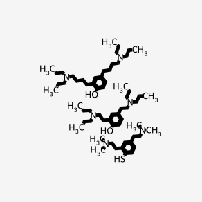 CCCN(CCC)CCCCc1ccc(O)c(CCCCN(CCC)CCC)c1.CCCN(CCC)CCc1ccc(O)c(CCN(CCC)CCC)c1.CN(C)CCc1ccc(S)c(CCN(C)C)c1